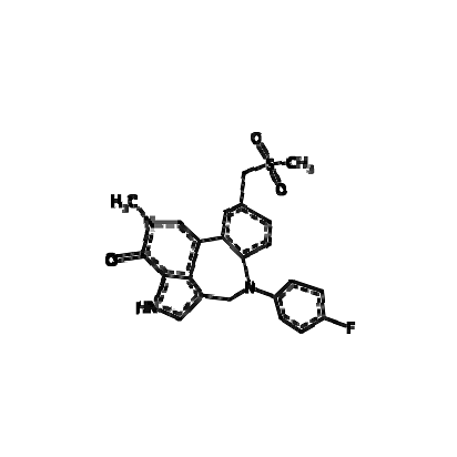 Cn1cc2c3c(c[nH]c3c1=O)CN(c1ccc(F)cc1)c1ccc(CS(C)(=O)=O)cc1-2